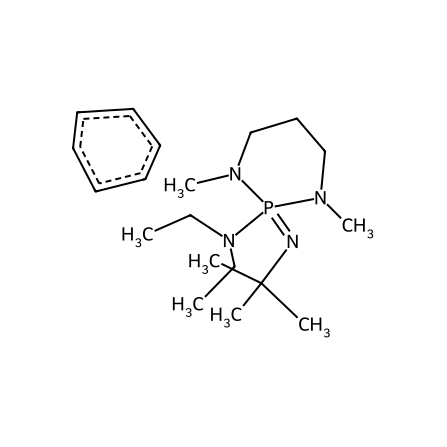 CCN(CC)P1(=NC(C)(C)C)N(C)CCCN1C.c1ccccc1